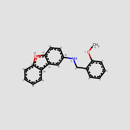 COc1ccccc1CNc1ccc2oc3ccccc3c2c1